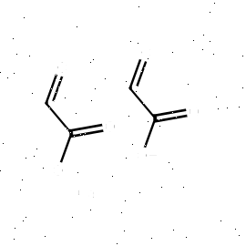 O=CC(=O)O.O=CC(=O)O.[Ca]